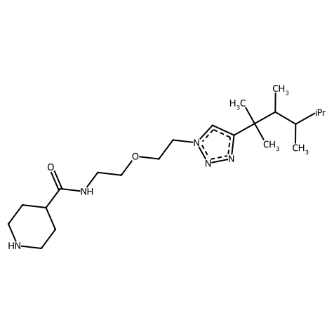 CC(C)C(C)C(C)C(C)(C)c1cn(CCOCCNC(=O)C2CCNCC2)nn1